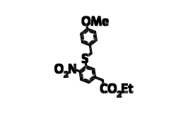 CCOC(=O)Cc1ccc([N+](=O)[O-])c(SCc2ccc(OC)cc2)c1